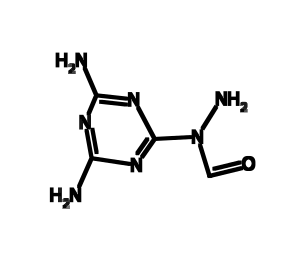 Nc1nc(N)nc(N(N)C=O)n1